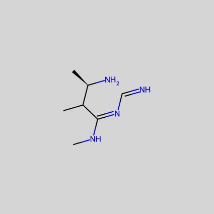 CN/C(=N/C=N)C(C)[C@@H](C)N